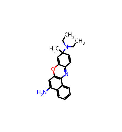 CCN(CC)C1(C)C=CC2=Nc3c(cc(N)c4ccccc34)OC2=C1